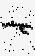 CC=CC(=O)OCCCC(OCCC)OCCC